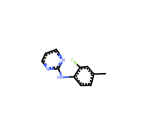 Cc1ccc(Nc2ncccn2)c(F)c1